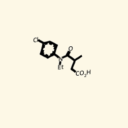 CCN(C(=O)C(C)CC(=O)O)c1ccc(Cl)cc1